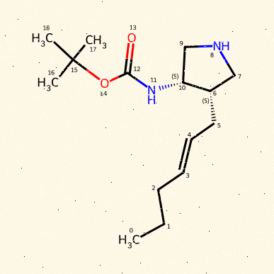 CCCC=CC[C@H]1CNC[C@H]1NC(=O)OC(C)(C)C